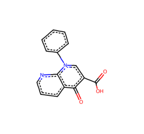 O=C(O)c1cn(-c2ccccc2)c2ncccc2c1=O